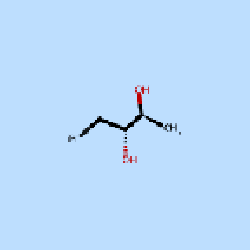 CC(C)C[C@@H](O)[C@H](C)O